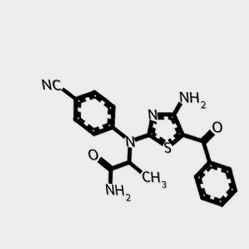 CC(C(N)=O)N(c1ccc(C#N)cc1)c1nc(N)c(C(=O)c2ccccc2)s1